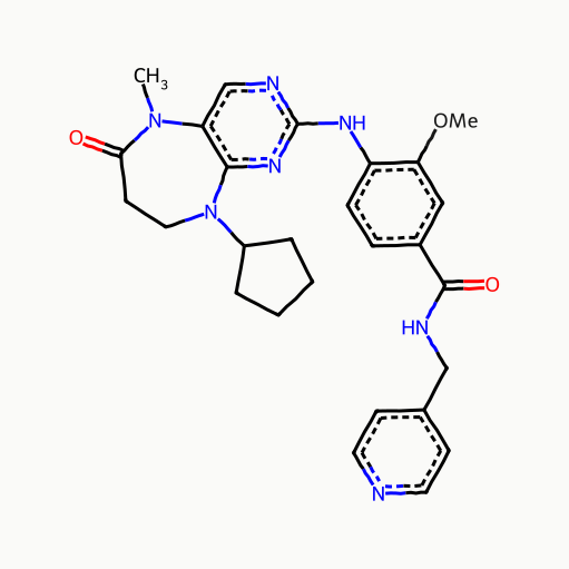 COc1cc(C(=O)NCc2ccncc2)ccc1Nc1ncc2c(n1)N(C1CCCC1)CCC(=O)N2C